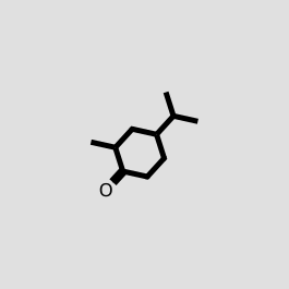 CC1CC(C(C)C)CCC1=O